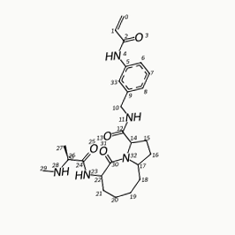 C=CC(=O)Nc1cccc(CNC(=O)C2CCC3CCCCC(NC(=O)[C@H](C)NC)C(=O)N32)c1